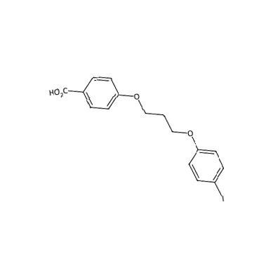 O=C(O)c1ccc(OCCCOc2ccc(I)cc2)cc1